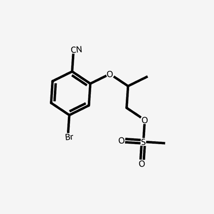 CC(COS(C)(=O)=O)Oc1cc(Br)ccc1C#N